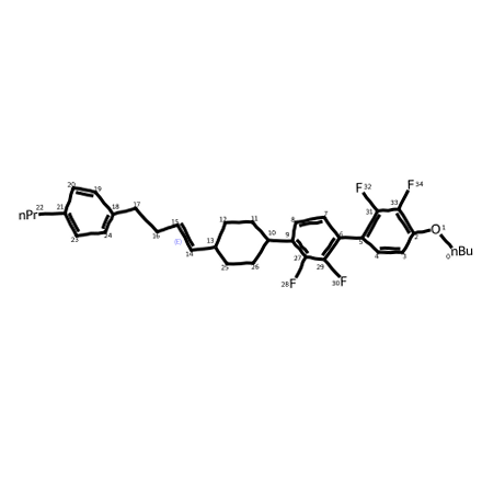 CCCCOc1ccc(-c2ccc(C3CCC(/C=C/CCc4ccc(CCC)cc4)CC3)c(F)c2F)c(F)c1F